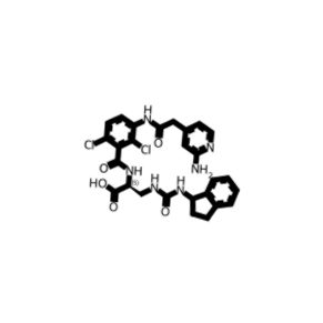 Nc1cc(CC(=O)Nc2ccc(Cl)c(C(=O)N[C@@H](CNC(=O)NC3CCc4ccccc43)C(=O)O)c2Cl)ccn1